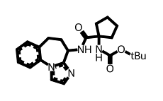 CC(C)(C)OC(=O)NC1(C(=O)NC2CCc3ccccc3-n3ccnc32)CCCC1